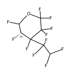 FC1OC(F)(F)C(F)(F)C(F)(C(F)(F)C(F)F)[C@@H]1F